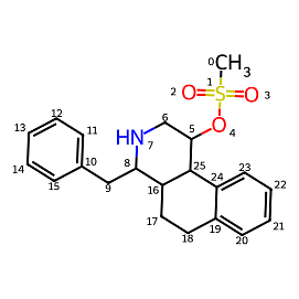 CS(=O)(=O)OC1CNC(Cc2ccccc2)C2CCc3ccccc3C12